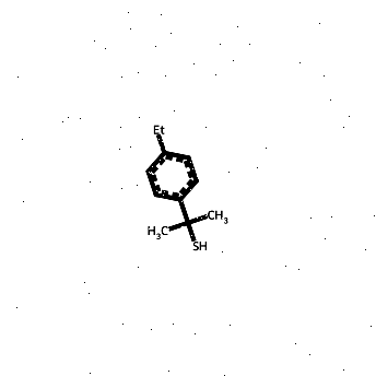 CCc1ccc(C(C)(C)S)cc1